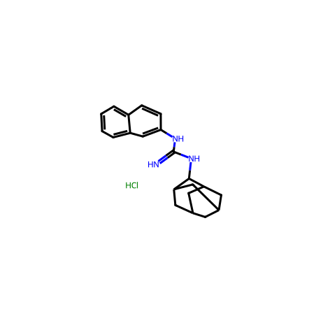 Cl.N=C(Nc1ccc2ccccc2c1)NC1C2CC3CC(C2)CC1C3